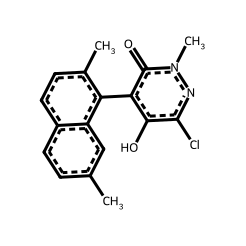 Cc1ccc2ccc(C)c(-c3c(O)c(Cl)nn(C)c3=O)c2c1